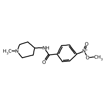 CO[N+](=O)c1ccc(C(=O)NC2CCN(C)CC2)cc1